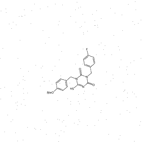 COc1ccc(Cn2c(S)nc(=O)n(Cc3ccc(F)cc3)c2=O)cc1